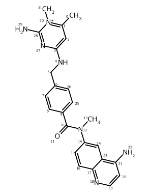 Cc1cc(NCc2ccc(C(=O)N(C)c3ccc4nccc(N)c4c3)cc2)nc(N)[n+]1C